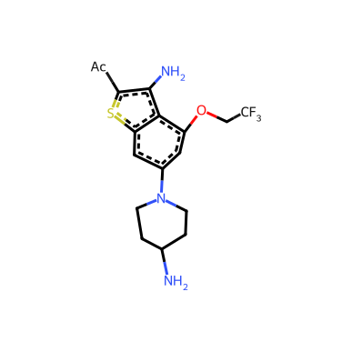 CC(=O)c1sc2cc(N3CCC(N)CC3)cc(OCC(F)(F)F)c2c1N